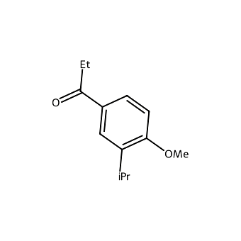 CCC(=O)c1ccc(OC)c(C(C)C)c1